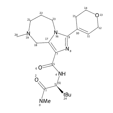 CNC(=O)[C@@H](NC(=O)c1nc(C2=CCOCC2)n2c1CN(C)CCC2)C(C)(C)C